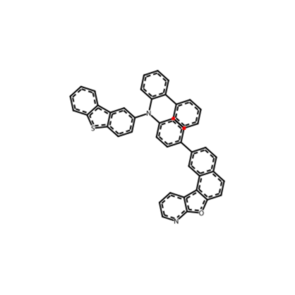 c1ccc(-c2ccccc2N(c2ccc(-c3ccc4ccc5oc6ncccc6c5c4c3)cc2)c2ccc3sc4ccccc4c3c2)cc1